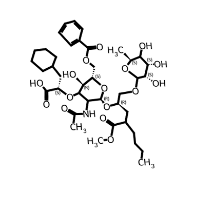 CCCCC(C[C@H](COC1O[C@@H](C)C(O)[C@H](O)[C@@H]1O)O[C@@H]1O[C@@H](COC(=O)c2ccccc2)[C@H](O)C(O[C@@H](CC2CCCCC2)C(=O)O)C1NC(C)=O)C(=O)OC